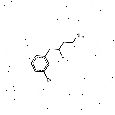 CCc1cccc(CC(F)CCN)c1